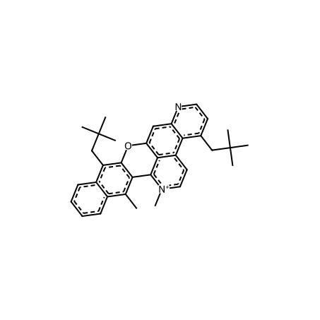 Cc1c2c(c(CC(C)(C)C)c3ccccc13)Oc1cc3nccc(CC(C)(C)C)c3c3cc[n+](C)c-2c13